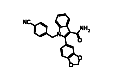 N#Cc1ccc(Cn2c(-c3ccc4c(c3)OCO4)c(C(N)=O)c3ccccc32)cc1